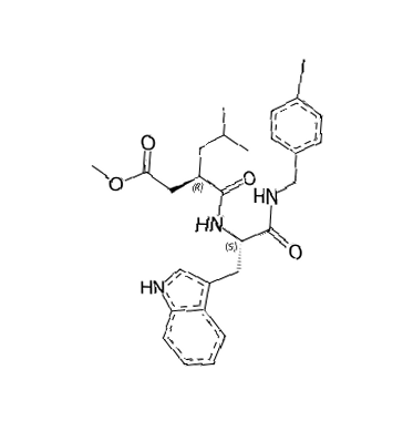 COC(=O)C[C@@H](CC(C)C)C(=O)N[C@@H](Cc1c[nH]c2ccccc12)C(=O)NCc1ccc(I)cc1